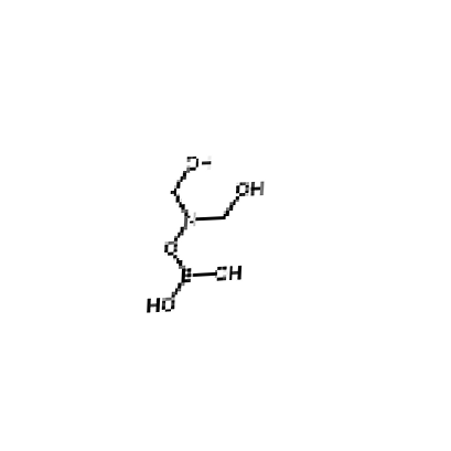 OCN(CO)OB(O)O